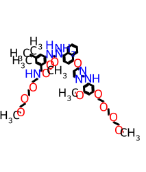 COCCOCCOCCNC(=O)c1cc(C(C)(C)C)cc(NC(=O)N(N)c2ccc(Oc3ccnc(Nc4cc(OC)cc(OCCOCCOCCOC)c4)n3)c3ccccc23)c1OC